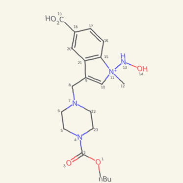 CCCCOC(=O)N1CCN(CC2=C[N+](C)(NO)c3ccc(C(=O)O)cc32)CC1